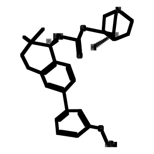 CCCCOc1cccc(-c2ccc3c(c2)CCC(C)(C)[C@H]3NC(=O)O[C@H]2CN3CCC2CC3)c1